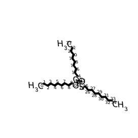 CCCCCCCCCCOP(=O)(OCCCCCCCCCC)SCCCCCCCCCC